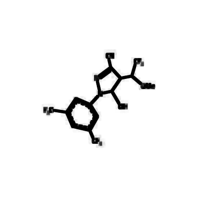 COC(C1C(C#N)=NN(c2cc(C(F)(F)F)cc(C(F)(F)F)c2)C1O)C(F)(F)F